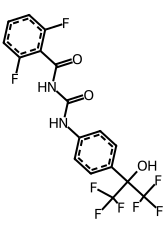 O=C(NC(=O)c1c(F)cccc1F)Nc1ccc(C(O)(C(F)(F)F)C(F)(F)F)cc1